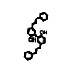 Oc1ccc(CC=Cc2ccccc2)cc1-c1cc(CC=Cc2ccccc2)ccc1O